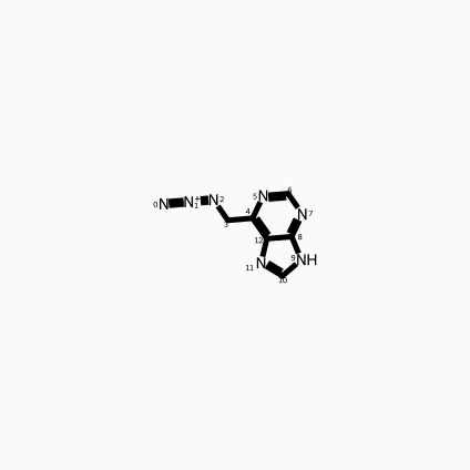 [N-]=[N+]=NCc1ncnc2[nH]cnc12